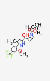 COc1cc(C(F)(F)F)ccc1-c1nnc(C(O)C23CC(CN(C(=O)OC(C)(C)C)C2)C3)cc1C